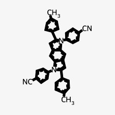 Cc1ccc(-c2cc3cc4c(cc(-c5ccc(C)cc5)n4-c4ccc(C#N)cc4)cc3n2-c2ccc(C#N)cc2)cc1